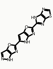 c1nc2[nH]c(-c3nc4[nH]c(-c5nc6[nH]ncc6o5)cc4o3)nc2s1